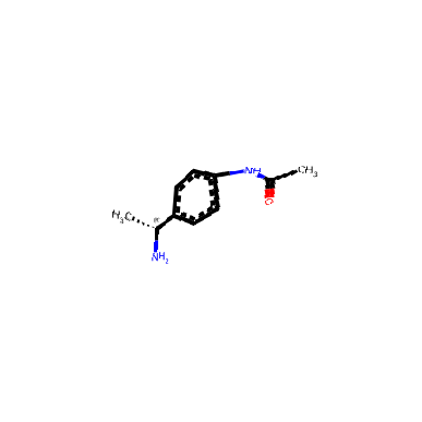 CC(=O)Nc1ccc([C@@H](C)N)cc1